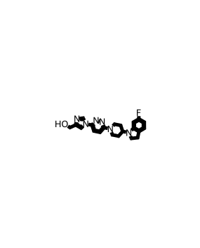 OCc1cn(-c2ccc(N3CCC(N4CCc5ccc(F)cc54)CC3)nn2)cn1